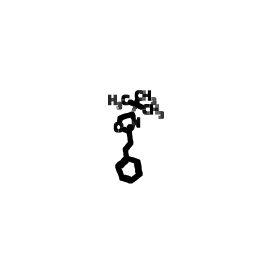 CC(C)(C)[C@H]1COC(CCc2ccccc2)=N1